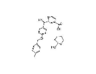 N=C(c1ccc(OCc2ccc(F)cc2)cc1)c1cc(C(=O)O)ccn1.OC1CCCCO1